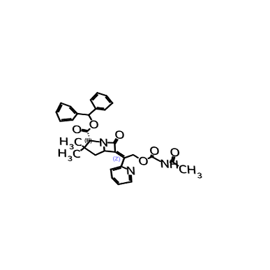 CC(=O)NC(=O)OC/C(=C1\C(=O)N2C1CC(C)(C)[C@@H]2C(=O)OC(c1ccccc1)c1ccccc1)c1ccccn1